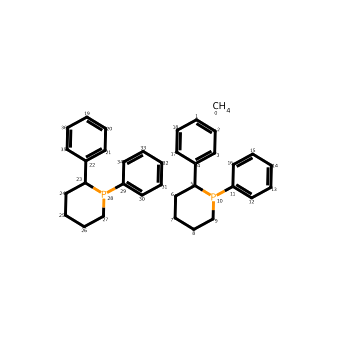 C.c1ccc(C2CCCCP2c2ccccc2)cc1.c1ccc(C2CCCCP2c2ccccc2)cc1